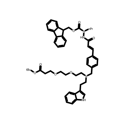 CCCN(NC(=O)/C=C/c1ccc(CN(CCOCCOCCC(=O)OC(C)(C)C)CCc2c[nH]c3ccccc23)cc1)C(=O)OCC1c2ccccc2-c2ccccc21